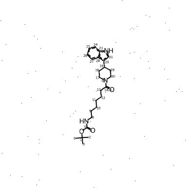 CC(C)(C)OC(=O)NCCCCCCC(=O)N1CCC(c2c[nH]c3ccccc23)CC1